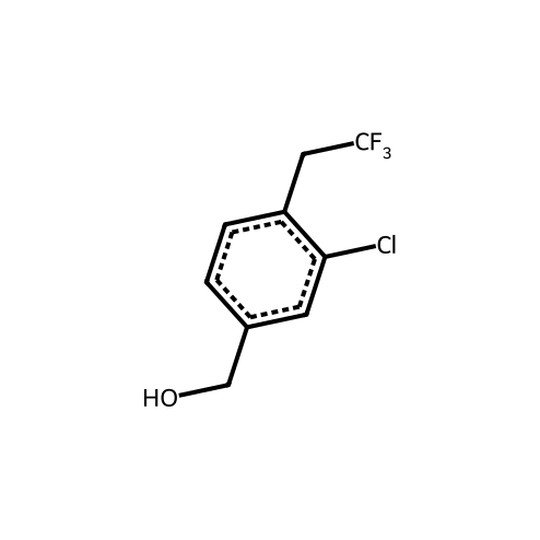 OCc1ccc(CC(F)(F)F)c(Cl)c1